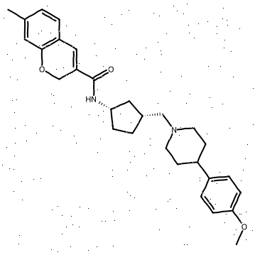 COc1ccc(C2CCN(C[C@@H]3CC[C@H](NC(=O)C4=Cc5ccc(C)cc5OC4)C3)CC2)cc1